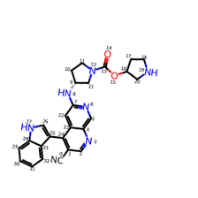 N#Cc1cnc2cnc(N[C@@H]3CCN(C(=O)OC4CCNC4)C3)cc2c1-c1c[nH]c2ccccc12